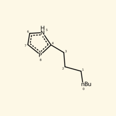 CCCCCCCc1[nH]ccp1